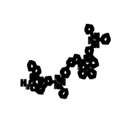 CC1(C)c2oc3c(ccc4ccccc43)c2-n2c3ccc(-c4nc(-c5ccccc5)nc(-c5ccc(-c6ccc7ccc8c9c(sc8c7c6)C(c6ccccc6)(c6ccccc6)c6cccc7c8cc(-c%10nc(-c%11ccccc%11)nc(-c%11ccccc%11)n%10)ccc8n-9c67)cc5)n4)cc3c3cccc1c32